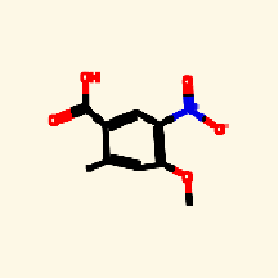 COc1cc(C)c(C(=O)O)cc1[N+](=O)[O-]